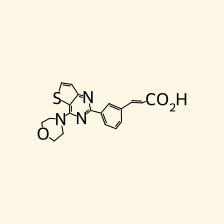 O=C(O)/C=C/c1cccc(-c2nc(N3CCOCC3)c3sccc3n2)c1